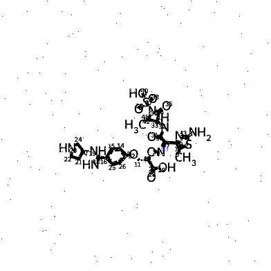 Cc1sc(N)nc1/C(=N/O[C@@H](COc1ccc(C(=N)N[C@@H]2CCNC2)cc1)C(=O)O)C(=O)N[C@@H]1C(=O)N(S(=O)(=O)O)[C@@H]1C